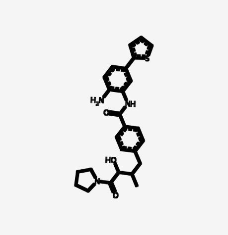 CC(Cc1ccc(C(=O)Nc2cc(-c3cccs3)ccc2N)cc1)C(O)C(=O)N1CCCC1